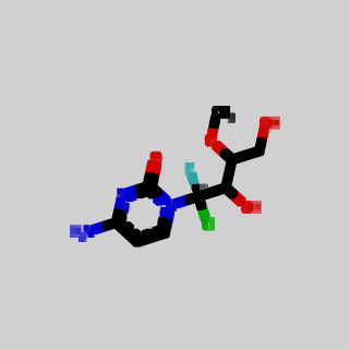 COC(CO)C(O)[C@](F)(Cl)n1ccc(N)nc1=O